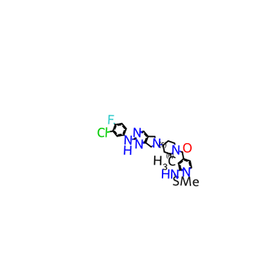 CSNc1cc(C(=O)N2CC[C@H](N3Cc4cnc(Nc5ccc(F)c(Cl)c5)nc4C3)C[C@H]2C)ccn1